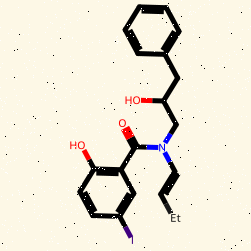 CCC=CN(CC(O)Cc1ccccc1)C(=O)c1cc(I)ccc1O